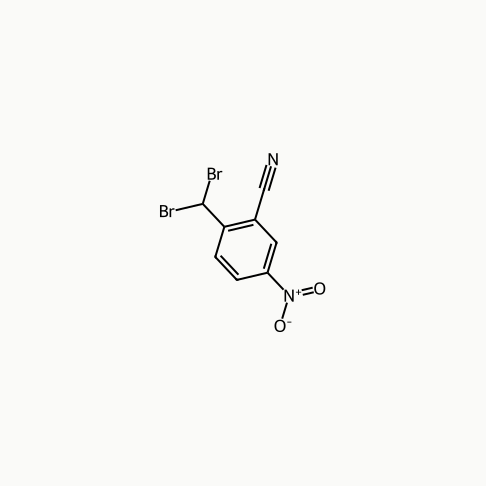 N#Cc1cc([N+](=O)[O-])ccc1C(Br)Br